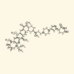 COc1cc(C(=O)N(C)C2CCC(N(C)CCN3CCN(c4cnn(C5CCC(=O)NC5=O)c4)CC3)CC2)ccc1N(C)c1ncc2c(n1)N(C(C)C)CC(F)(F)C(=O)N2C